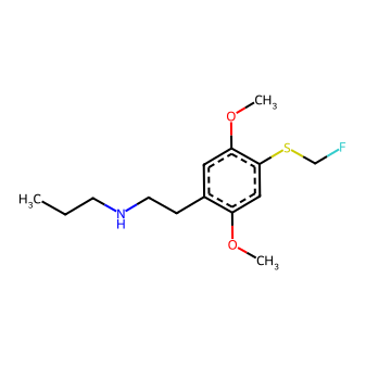 CCCNCCc1cc(OC)c(SCF)cc1OC